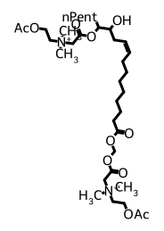 CCCCCC(OC(=O)C[N+](C)(C)CCOC(C)=O)C(O)C/C=C\CCCCCCCC(=O)OCOC(=O)C[N+](C)(C)CCOC(C)=O